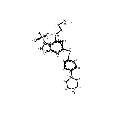 CS(=O)(=O)c1n[nH]c2nc(Nc3ccc(N4CCOCC4)cc3)nc(NCCN)c12